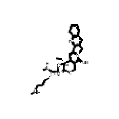 CC[C@@]1(OC(=O)[C@H](CCCCNC)NC)C(=O)OCc2c1cc1n(c2=N)Cc2cc3ccccc3nc2-1